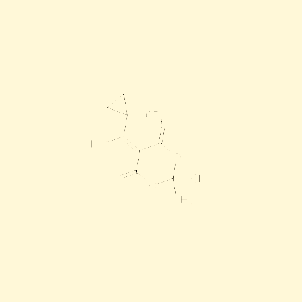 CC1(C)OC(=O)C(=C(O)C2(C(F)(F)F)CC2)C(=O)O1